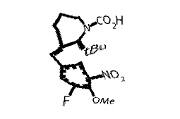 COc1c(F)cc(/C=C2/CCCN(C(=O)O)C2C(C)(C)C)cc1[N+](=O)[O-]